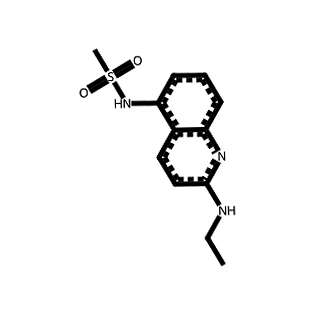 CCNc1ccc2c(NS(C)(=O)=O)cccc2n1